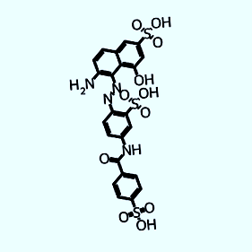 Nc1ccc2cc(S(=O)(=O)O)cc(O)c2c1N=Nc1ccc(NC(=O)c2ccc(S(=O)(=O)O)cc2)cc1S(=O)(=O)O